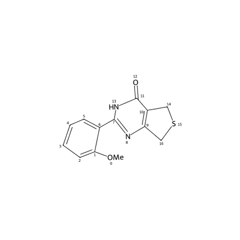 COc1ccccc1-c1nc2c(c(=O)[nH]1)CSC2